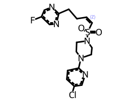 O=S(=O)(/C=C\CCc1ncc(F)cn1)N1CCN(c2ccc(Cl)cn2)CC1